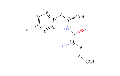 N[C@@H](CCC(=O)O)C(=O)N[C@@H](Cc1ccc(F)cc1)C(=O)O